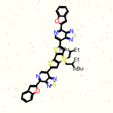 CCCCC(CC)CS1(CC(CC)CCCC)c2cc(-c3cnc(-c4cc5ccccc5o4)c4nsnc34)sc2-c2sc(-c3cnc(-c4cc5ccccc5o4)c4nsnc34)cc21